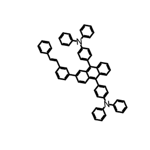 C(=C\c1cccc(-c2ccc3c(-c4ccc(N(c5ccccc5)c5ccccc5)cc4)c4ccccc4c(-c4ccc(N(c5ccccc5)c5ccccc5)cc4)c3c2)c1)/c1ccccc1